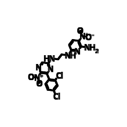 Nc1nc(NCCNc2cnc([N+](=O)[O-])c(-c3ccc(Cl)cc3Cl)n2)ccc1[N+](=O)[O-]